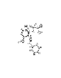 COc1cccc(CC(C)(N)C(=O)O)c1OCc1ccccc1